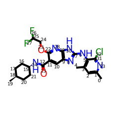 Cc1cc(C)c(Nc2nc3cc(C(=O)N[C@H]4CC[C@H](C)CC4)c(OCC(F)F)nc3[nH]2)c(Cl)n1